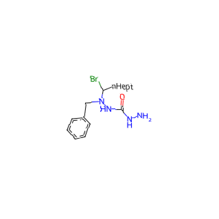 CCCCCCCC(Br)N(Cc1ccccc1)NC(=O)NN